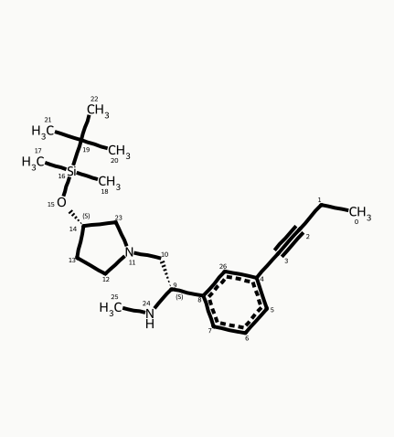 CCC#Cc1cccc([C@@H](CN2CC[C@H](O[Si](C)(C)C(C)(C)C)C2)NC)c1